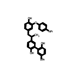 CCCc1ccc(Oc2cc(CC(C)c3ccc(O)c(-c4cc(CCC)ccc4O)c3)ccc2O)cc1